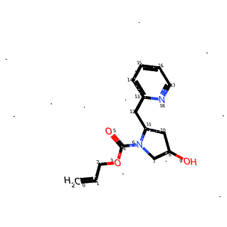 C=CCOC(=O)N1CC(O)CC1Cc1ccccn1